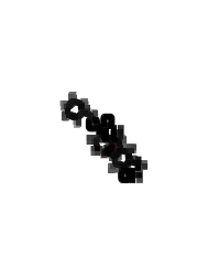 O=C(OCc1ccccc1)N1CC[C@@]23CCCCC2[C@@H]1Cc1cc(I)c(O)cc13